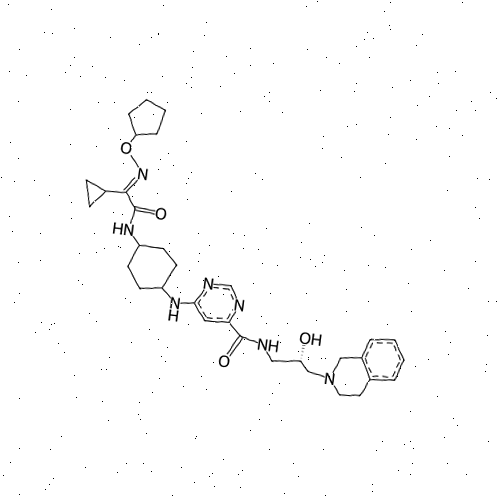 O=C(NC1CCC(Nc2cc(C(=O)NC[C@H](O)CN3CCc4ccccc4C3)ncn2)CC1)/C(=N/OC1CCCC1)C1CC1